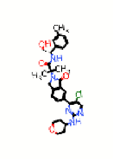 Cc1cccc([C@@H](CO)NC(=O)C(C)(C)N2Cc3ccc(-c4nc(NC5CCOCC5)ncc4Cl)cc3C2=O)c1